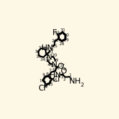 NCCC(=O)NC(Cc1ccc(Cl)cc1Cl)C(=O)N1CCN(C2(CNCCc3ccccc3F)CCCCC2)CC1